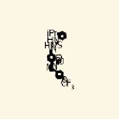 CC(C)c1ccccc1NC(=S)NN=Cc1ccc2c(c1)S(=O)(=O)Cn1c(-c3ccc(OC(F)(F)F)cc3)cnc1-2